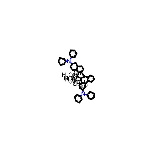 C[Si](C)(C)C1([Si](C)(C)C)c2c(ccc3cc(N(c4ccccc4)c4ccccc4)ccc23)-c2c1c1ccc(N(c3ccccc3)c3ccccc3)cc1c1ccccc21